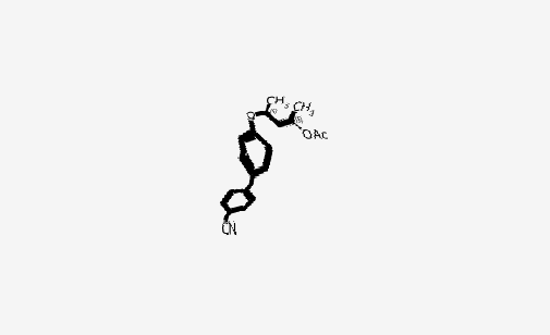 CC(=O)O[C@@H](C)C[C@H](C)Oc1ccc(-c2ccc(C#N)cc2)cc1